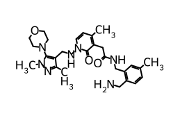 Cc1ccc(CN)c(CNC(=O)Cc2c(C)ccn(NCc3c(C)nn(C)c3N3CCOCC3)c2=O)c1